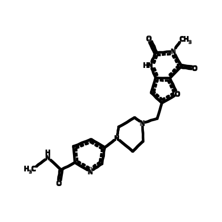 CNC(=O)c1ccc(N2CCN(Cc3cc4[nH]c(=O)n(C)c(=O)c4o3)CC2)cn1